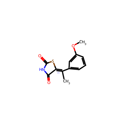 COc1cccc(/C(C)=C2\SC(=O)NC2=O)c1